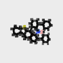 c1ccc2c(c1)B1c3ccccc3-c3cccc(-c4cccc5c4sc4ccccc45)c3N1c1ccccc1-2